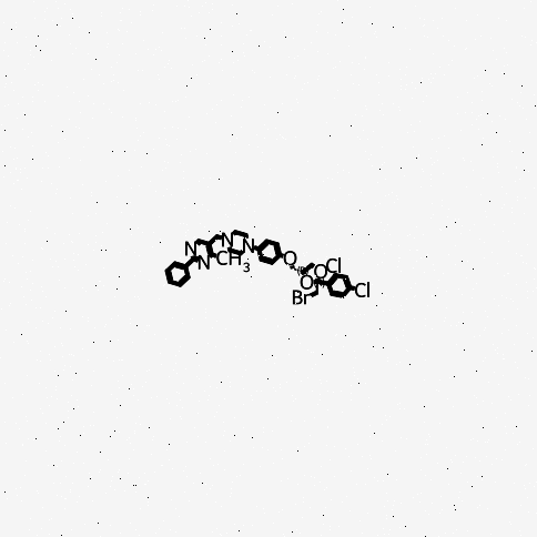 Cc1nc(-c2ccccc2)ncc1CN1CCN(c2ccc(OC[C@@H]3CO[C@](CBr)(c4ccc(Cl)cc4Cl)O3)cc2)CC1